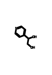 OCC(O)c1ccncc1